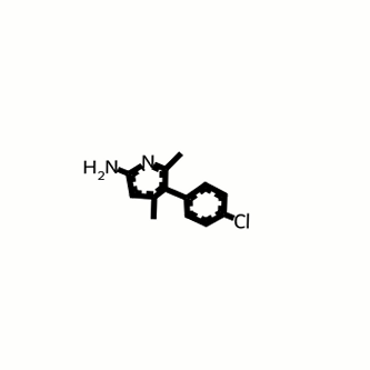 Cc1cc(N)nc(C)c1-c1ccc(Cl)cc1